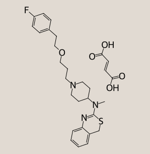 CN(C1=Nc2ccccc2CS1)C1CCN(CCCOCCc2ccc(F)cc2)CC1.O=C(O)/C=C/C(=O)O